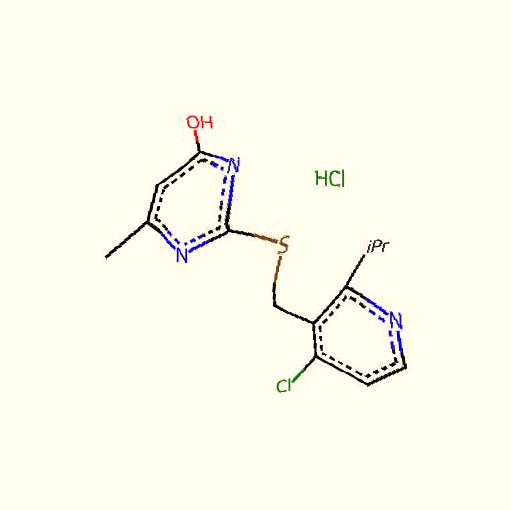 Cc1cc(O)nc(SCc2c(Cl)ccnc2C(C)C)n1.Cl